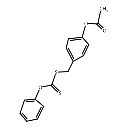 CC(=O)Oc1ccc(CSC(=S)Oc2ccccc2)cc1